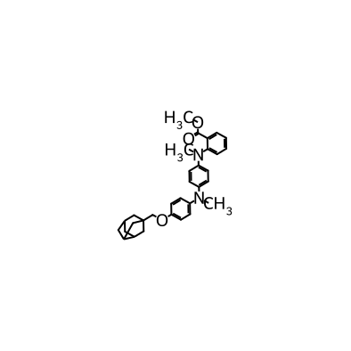 COC(=O)c1ccccc1N(C)c1ccc(N(C)c2ccc(OCC34CC5CC(C3)C(C5)C4)cc2)cc1